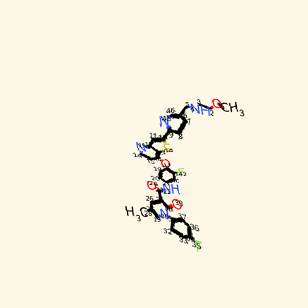 COCCNCc1ccc(-c2cc3nccc(Oc4ccc(NC(=O)c5cc(C)cn(-c6ccc(F)cc6)c5=O)cc4F)c3s2)nc1